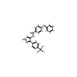 FC(F)(F)c1ccc(-c2n[nH]cc2CNc2ccc(Oc3ccccc3)cc2)cc1